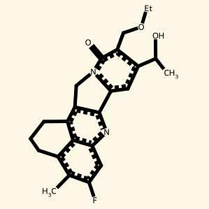 CCOCc1c(C(C)O)cc2n(c1=O)Cc1c-2nc2cc(F)c(C)c3c2c1CCC3